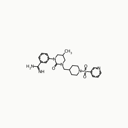 CC1CN(CC2CCN(S(=O)(=O)c3cccnc3)CC2)C(=O)N(c2cccc(C(=N)N)c2)C1